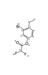 CCc1ccc(OC(=O)C(F)F)cc1Br